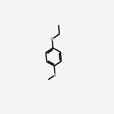 CCOc1c[c]c(SC)cc1